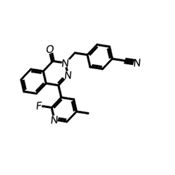 Cc1cnc(F)c(-c2nn(Cc3ccc(C#N)cc3)c(=O)c3ccccc23)c1